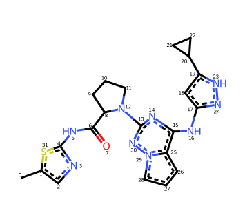 Cc1cnc(NC(=O)C2CCCN2c2nc(Nc3cc(C4CC4)[nH]n3)c3cccn3n2)s1